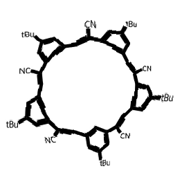 CC(C)(C)c1cc2cc(c1)/C(C#N)=C/c1cc(cc(C(C)(C)C)c1)/C(C#N)=C/c1cc(cc(C(C)(C)C)c1)/C(C#N)=C/c1cc(cc(C(C)(C)C)c1)/C(C#N)=C/c1cc(cc(C(C)(C)C)c1)/C(C#N)=C/2